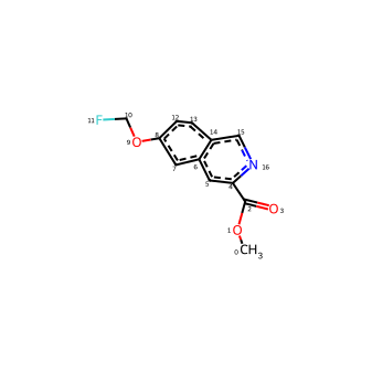 COC(=O)c1cc2cc(OCF)ccc2cn1